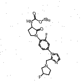 CC(C)(C)OC(=O)NC1CCN(c2ccc(-n3ccnc3CN3CCC(F)C3)cc2F)C1=O